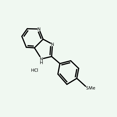 CSc1ccc(-c2nc3ncccc3[nH]2)cc1.Cl